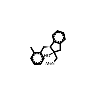 CNC[C@@]1(O)Cc2ccccc2[C@@H]1Cc1ccccc1C